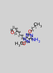 CCCCOc1nc(N)c2nc(OC)n(CCCCC3CCCOC3)c2n1